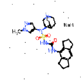 Cn1cc(N(C2CN3CCC2CC3)S(=O)(=O)NC(=O)Nc2c3c(cc4c2CCC4)CCC3)cn1.[NaH]